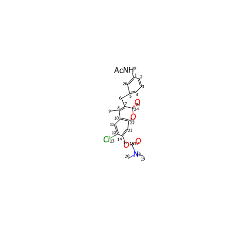 CC(=O)Nc1cccc(Cc2c(C)c3cc(Cl)c(OC(=O)N(C)C)cc3oc2=O)c1